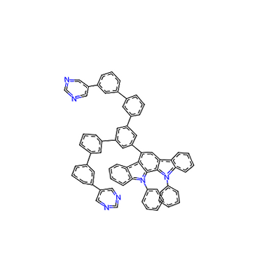 c1ccc(-n2c3ccccc3c3cc(-c4cc(-c5cccc(-c6cccc(-c7cncnc7)c6)c5)cc(-c5cccc(-c6cccc(-c7cncnc7)c6)c5)c4)c4c5ccccc5n(-c5ccccc5)c4c32)cc1